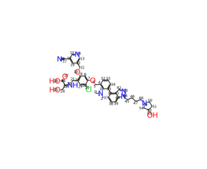 CN(C)c1c(COc2cc(OCc3cncc(C#N)c3)c(CN[C@@H](CO)C(=O)O)cc2Cl)cccc1-c1cccc2c1cnn2CCCCN1CCC(O)C1